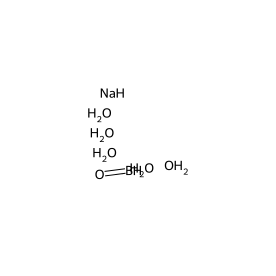 B=O.O.O.O.O.O.[NaH]